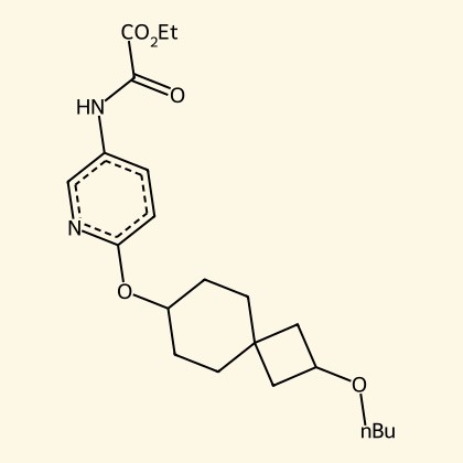 CCCCOC1CC2(CCC(Oc3ccc(NC(=O)C(=O)OCC)cn3)CC2)C1